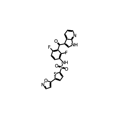 O=C(c1c(F)ccc(NS(=O)(=O)c2ccc(-c3ccno3)s2)c1F)c1c[nH]c2ncccc12